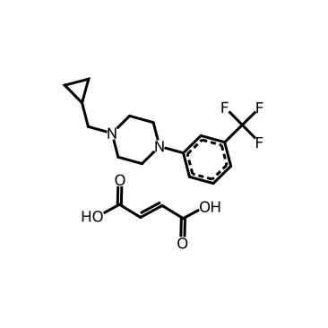 FC(F)(F)c1cccc(N2CCN(CC3CC3)CC2)c1.O=C(O)C=CC(=O)O